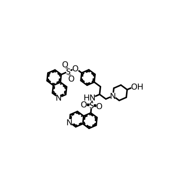 O=S(=O)(NC(Cc1ccc(OS(=O)(=O)c2cccc3cnccc23)cc1)CN1CCC(O)CC1)c1cccc2cnccc12